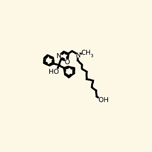 CN(CCCCCCCCCO)Cc1cnc(C(O)(c2ccccc2)c2ccccc2)o1